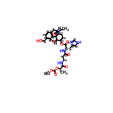 C[C@H](OC(=O)OC(C)(C)C)C(=O)NCCC(=O)N[C@@H](Cc1c[nH]cn1)C(=O)OC1=CC[C@@]2(O)[C@H]3Cc4ccc(CO)c5c4[C@@]2(CCN3C)[C@H]1O5